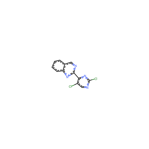 Clc1ncc(Cl)c(-c2ncc3ccccc3n2)n1